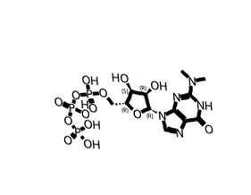 CN(C)c1nc2c(ncn2[C@@H]2O[C@H](COP(=O)(O)OP(=O)(O)OP(=O)(O)O)[C@@H](O)[C@H]2O)c(=O)[nH]1